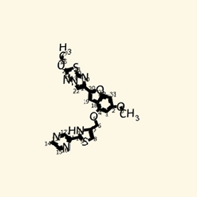 COc1cc(OCC2=CSC(c3cnccn3)N2)c2cc(-c3cn4nc(OC)sc4n3)oc2c1